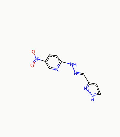 O=[N+]([O-])c1ccc(NN=Cc2cc[nH]n2)nc1